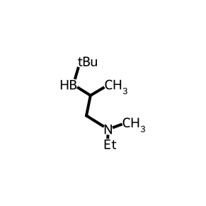 CCN(C)CC(C)BC(C)(C)C